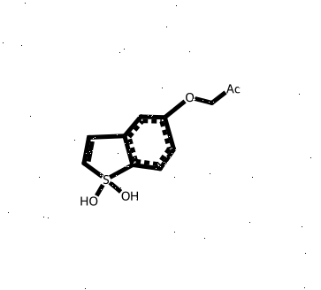 CC(=O)COc1ccc2c(c1)C=CS2(O)O